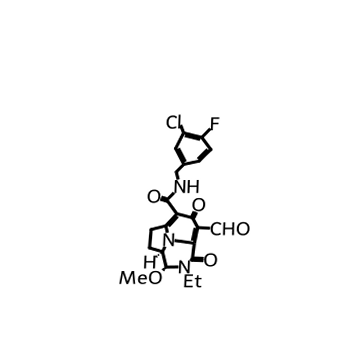 CCN1C(=O)c2c(C=O)c(=O)c(C(=O)NCc3ccc(F)c(Cl)c3)c3n2[C@H](CC3)[C@@H]1OC